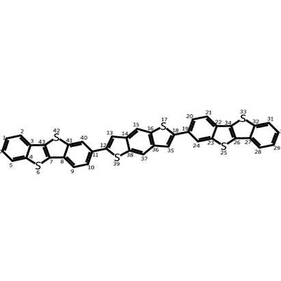 c1ccc2c(c1)sc1c3ccc(-c4cc5cc6sc(-c7ccc8c(c7)sc7c9ccccc9sc87)cc6cc5s4)cc3sc21